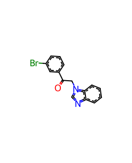 O=C(Cn1cnc2ccccc21)c1cccc(Br)c1